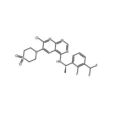 C[C@@H](Nc1ncnc2nc(Cl)c(N3CCS(=O)(=O)CC3)cc12)c1cccc(C(F)F)c1F